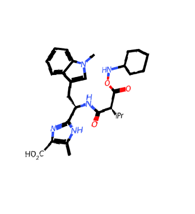 Cc1[nH]c([C@@H](Cc2cn(C)c3ccccc23)NC(=O)[C@@H](C(=O)ONC2CCCCC2)C(C)C)nc1C(=O)O